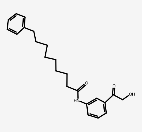 O=C(CCCCCCCCc1ccccc1)Nc1cccc(C(=O)CO)c1